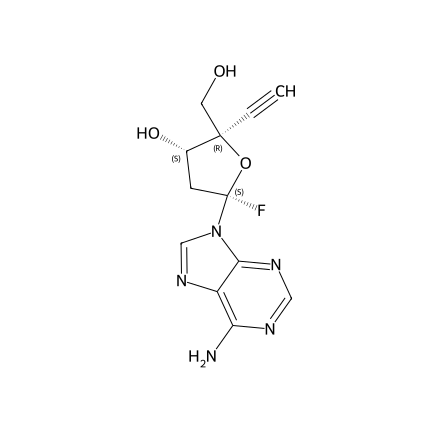 C#C[C@]1(CO)O[C@@](F)(n2cnc3c(N)ncnc32)C[C@@H]1O